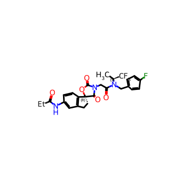 CCC(=O)Nc1ccc2c(c1)CC[C@@]21OC(=O)N(CC(=O)N(Cc2ccc(F)cc2)[C@@H](C)C(F)(F)F)C1=O